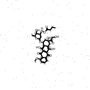 CCCC(=O)ONC1CC(O[C@H]2C[C@](O)(C(=O)CO)Cc3c(O)c4c(c(O)c32)C(=O)c2c(OC)cccc2C4=O)OC(C)C1O